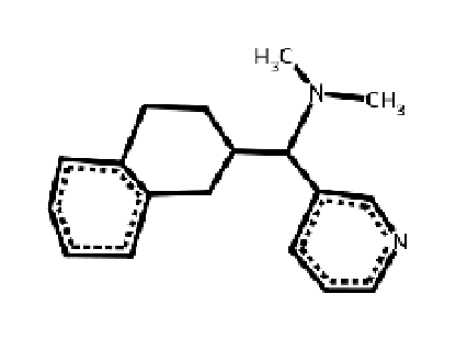 CN(C)C(c1cccnc1)C1CCc2ccccc2C1